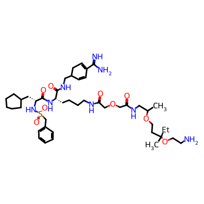 CCC(C)(CCOC(C)CNC(=O)COCC(=O)NCCCC[C@H](NC(=O)[C@@H](CC1CCCCC1)NS(=O)(=O)Cc1ccccc1)C(=O)NCC1C=CC(C(=N)N)=CC1)OCCN